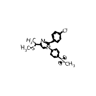 CSC(C)c1cn(-c2ccc(S(C)(=O)=O)cc2)c(-c2ccc(Cl)cc2)n1